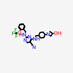 N#Cc1cnc(NCc2ccccc2OC(F)(F)F)nc1NCC1CCC(N2CC(O)C2)CC1